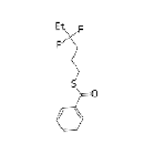 CCC(F)(F)CCCSC(=O)c1ccccc1